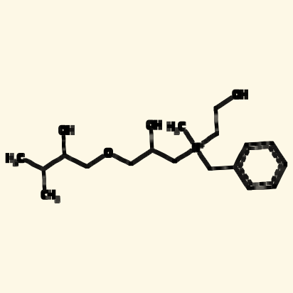 CC(C)C(O)COCC(O)C[N+](C)(CCO)Cc1ccccc1